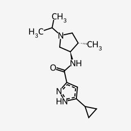 CC(C)N1C[C@H](NC(=O)c2cc(C3CC3)[nH]n2)[C@@H](C)C1